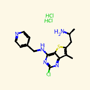 Cc1c(CC(C)N)sc2c(NCc3ccncc3)nc(Cl)nc12.Cl.Cl